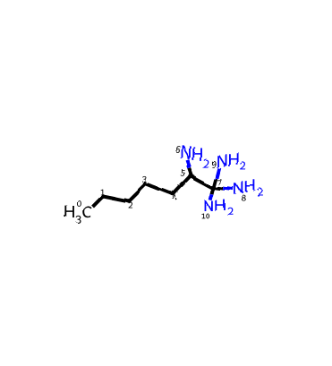 CCCCCC(N)C(N)(N)N